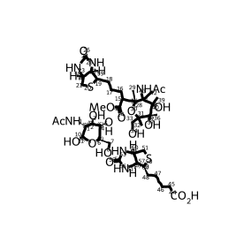 CC(=O)N[C@@H]1[C@@H](O)[C@H](O)[C@@H](CO)O[C@H]1O.COC(=O)C(CCCC1SC[C@@H]2NC(=O)N[C@H]12)[C@@]1(C)OC(C)(CO)[C@@](C)(O)C(C)(O)C1(C)NC(C)=O.O=C(O)CCCC[C@@H]1SC[C@@H]2NC(=O)N[C@@H]21